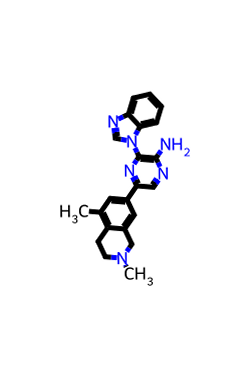 Cc1cc(-c2cnc(N)c(-n3cnc4ccccc43)n2)cc2c1CCN(C)C2